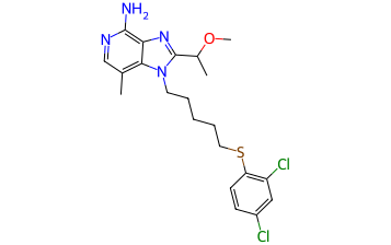 COC(C)c1nc2c(N)ncc(C)c2n1CCCCCSc1ccc(Cl)cc1Cl